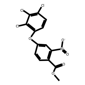 COC(=O)c1ccc(Oc2ccc(Cl)c(Cl)c2Cl)cc1[N+](=O)[O-]